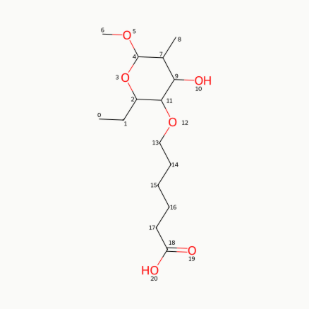 CCC1OC(OC)C(C)C(O)C1OCCCCCC(=O)O